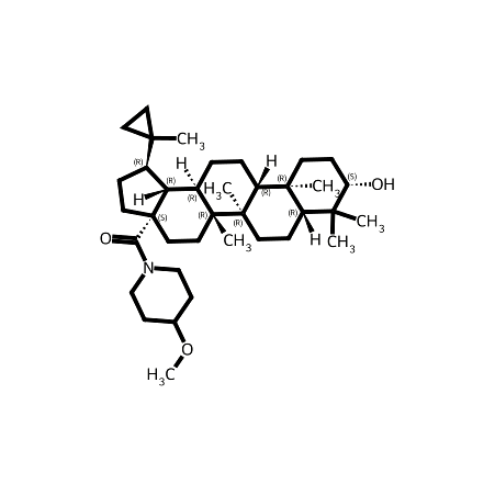 COC1CCN(C(=O)[C@]23CC[C@@H](C4(C)CC4)[C@@H]2[C@H]2CC[C@@H]4[C@@]5(C)CC[C@H](O)C(C)(C)[C@@H]5CC[C@@]4(C)[C@]2(C)CC3)CC1